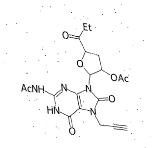 C#CCn1c(=O)n(C2OC(C(=O)CC)CC2OC(C)=O)c2nc(NC(C)=O)[nH]c(=O)c21